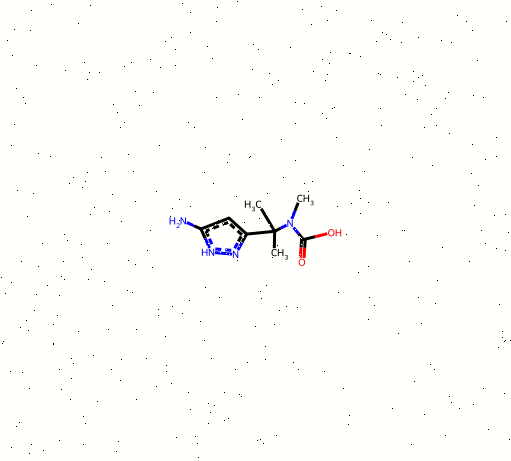 CN(C(=O)O)C(C)(C)c1cc(N)[nH]n1